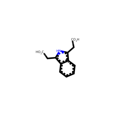 O=C(O)Cc1[nH]c(CC(=O)O)c2ccccc12